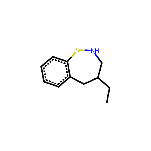 CCC1CNSc2ccccc2C1